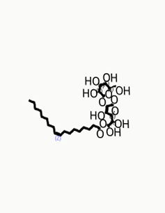 CCCCCCCC/C=C\CCCCCCCC(=O)OC(O)[C@H](O)[C@H]1OC(=O)C(OC2O[C@H](CO)[C@@H](O)[C@H](O)[C@H]2O)=C1O